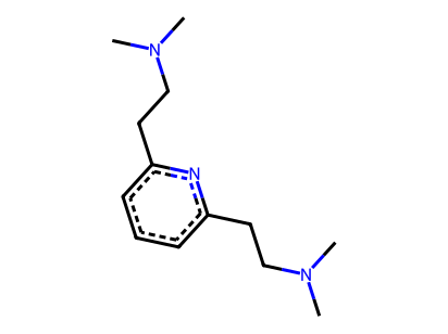 CN(C)CCc1cccc(CCN(C)C)n1